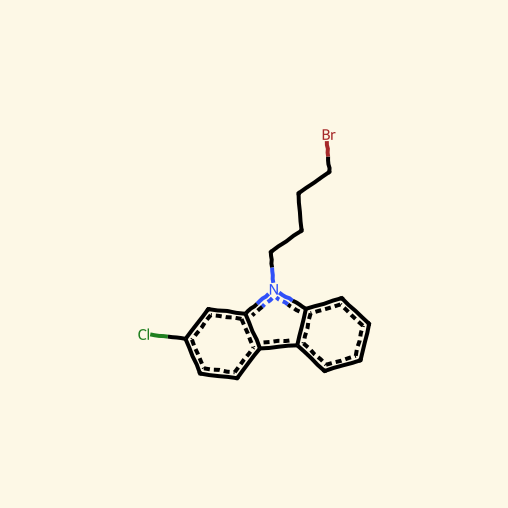 Clc1ccc2c3ccccc3n(CCCCBr)c2c1